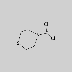 ClP(Cl)N1CCSCC1